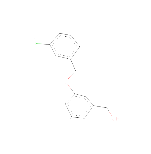 OCc1cccc(OCc2cccc(Cl)c2)c1